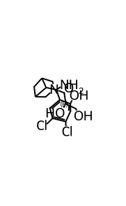 NC(c1cc(Cl)c(Cl)cc1O)C1C2CC1CN(C(=O)[C@H](O)CO)C2